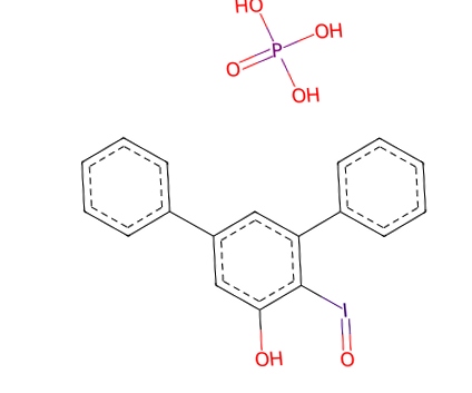 O=Ic1c(O)cc(-c2ccccc2)cc1-c1ccccc1.O=P(O)(O)O